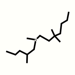 CCCCC(C)(C)CCN(C)CC(C)CCC